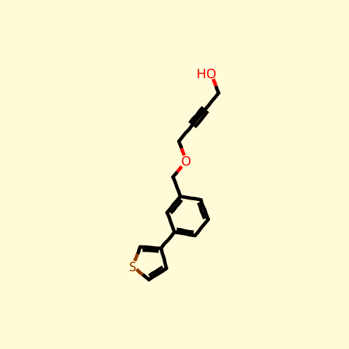 OCC#CCOCc1cccc(-c2ccsc2)c1